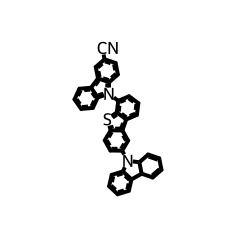 N#Cc1ccc2c(c1)c1ccccc1n2-c1cccc2c1sc1ccc(N3c4ccccc4C4C=CC=CC43)cc12